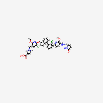 CCOc1nc(O[C@H]2CCc3c(-c4cccc(-c5ccc(CNC[C@@H]6CCC(=O)N6)c(OC)n5)c4Cl)cccc32)c(Cl)cc1CN1CC[C@H](C(=O)O)C1